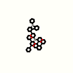 c1ccc(-c2ccc(N(c3ccc(-c4cccc5c4c4ccccc4n5-c4ccccc4)cc3)c3ccccc3-c3cccc4cccc(-c5ccccc5)c34)c(-c3ccccc3)c2)cc1